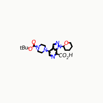 CC(C)(C)OC(=O)N1CCN(c2cnc(C(=O)O)c3c2cnn3C2CCCCO2)CC1